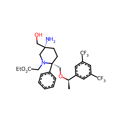 CCOC(=O)CN1C[C@@](N)(CO)CC[C@@]1(CO[C@H](C)c1cc(C(F)(F)F)cc(C(F)(F)F)c1)c1ccccc1